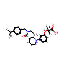 CCN(Cc1ccc(C(C)C)cc1)C(=O)[C@H]1CCCN(c2cccc(OC(C)(C)C(=O)O)c2)C1